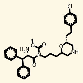 COC(=O)N(CCCC1CNC[C@@H](CCc2ccc(Cl)cc2)O1)C(=O)[C@@H](N)C(c1ccccc1)c1ccccc1